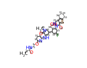 C=CC(=O)NCCOc1cccc(Nc2cc(-c3cc(F)cc(-n4ncc5c6c(sc5c4=O)CCCC6)c3CO)cn(C)c2=O)n1